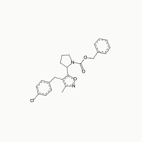 Cc1noc(C2CCCN2C(=O)OCc2ccccc2)c1Cc1ccc(Cl)cc1